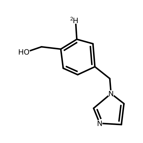 [2H]c1cc(Cn2ccnc2)ccc1CO